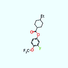 CCC1CCC(C(=O)Oc2ccc(OC(F)(F)F)c(F)c2)CC1